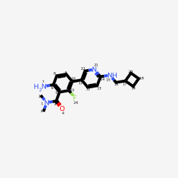 CN(C)C(=O)c1c(N)ccc(-c2ccc(NCC3CCC3)nc2)c1F